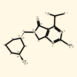 Nc1nc2c(c(C(F)F)n1)C(=O)N(C[C@H]1CCC[C@H](C(F)(F)F)C1)C2